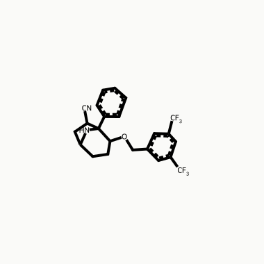 N#CC1CC2CCC(OCc3cc(C(F)(F)F)cc(C(F)(F)F)c3)C1(c1ccccc1)N2